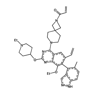 C=CC(=O)N1CC2(CCN(c3nc(OC4CCN(CC)CC4)nc4c(OCC)c(-c5c(C)ccc6[nH]ncc56)c(C=C)cc34)CC2)C1